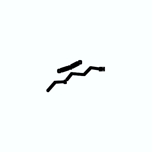 CCSCCCS.O=[Si]=O